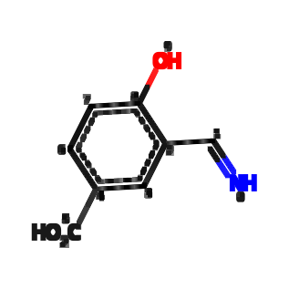 N=Cc1cc(C(=O)O)ccc1O